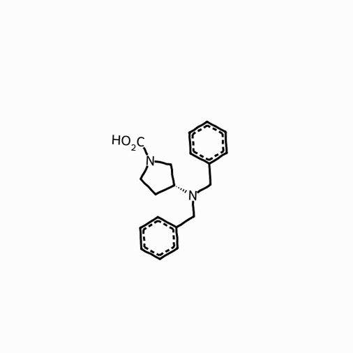 O=C(O)N1CC[C@@H](N(Cc2ccccc2)Cc2ccccc2)C1